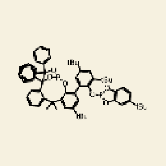 CC(C)(C)c1ccc2c(c1)OP(Oc1c(-c3cc(C(C)(C)C)cc4c3OP3OC(c5ccccc5)(c5ccccc5)C(c5ccccc5)(O3)c3ccccc3C4(C)C)cc(C(C)(C)C)cc1C(C)(C)C)O2